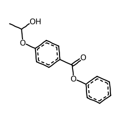 CC(O)Oc1ccc(C(=O)Oc2ccccc2)cc1